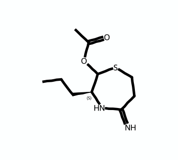 CCC[C@@H]1NC(=N)CCSC1OC(C)=O